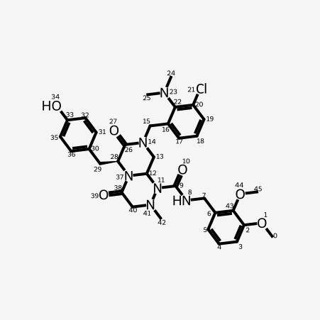 COc1cccc(CNC(=O)N2C3CN(Cc4cccc(Cl)c4N(C)C)C(=O)[C@H](Cc4ccc(O)cc4)N3C(=O)CN2C)c1OC